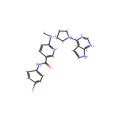 CN(c1ccc(C(=O)Nc2ccc(F)cc2)cn1)[C@@H]1CCN(c2ncnc3[nH]ccc23)C1